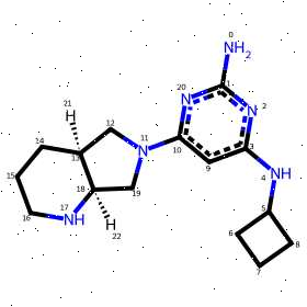 Nc1nc(NC2CCC2)cc(N2C[C@@H]3CCCN[C@@H]3C2)n1